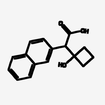 O=C(O)C(c1ccc2ccccc2c1)C1(O)CCC1